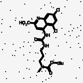 CN(CCCNC(=O)Nc1cc(C(=O)O)nc2cc(Cl)cc(Cl)c12)C(=O)OC(C)(C)C